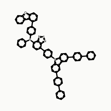 c1ccc(-c2ccc(-c3ccc4c(c3)c3cc(-c5ccc(-c6ccccc6)cc5)ccc3n4-c3ccc(-c4ccc(N(c5ccccc5)c5ccc(-c6cccc7oc8ccccc8c67)cc5)c5nsnc45)cc3)cc2)cc1